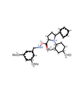 COc1cc(CNOC(=O)C2CCC(c3ccccc3)N2[C@H]2CCC(C=O)C[C@H]2C(C)(C)C)cc(OC)c1